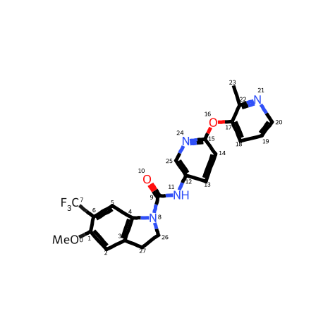 COc1cc2c(cc1C(F)(F)F)N(C(=O)Nc1ccc(Oc3cccnc3C)nc1)CC2